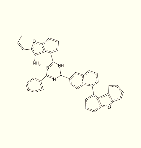 C/C=C\c1oc2cccc(C3=NC(c4ccccc4)=NC(c4ccc5c(-c6cccc7oc8ccccc8c67)cccc5c4)N3)c2c1N